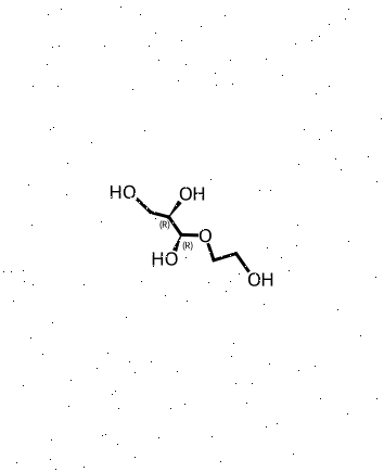 OCCO[C@@H](O)[C@H](O)CO